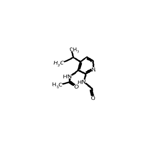 CC(=O)Nc1c(C(C)C)ccnc1NC=O